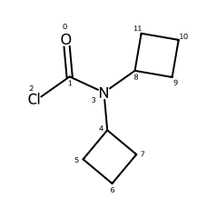 O=C(Cl)N(C1CCC1)C1CCC1